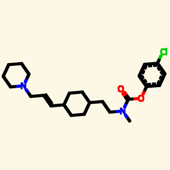 CN(CCC1CCC(/C=C/CN2CCCCC2)CC1)C(=O)Oc1ccc(Cl)cc1